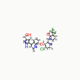 Cc1cc(Cl)c(COc2cccc3c(-c4[nH]nc(CO)c4C)cc(C)nc23)c(Cn2cccc(C(F)(F)F)c2=O)n1